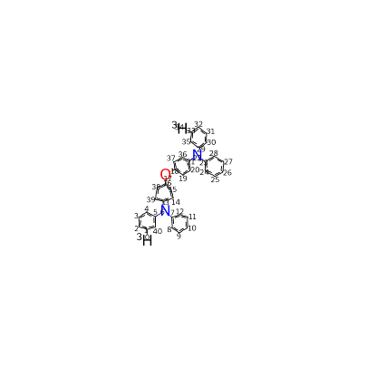 [3H]c1cccc(N(c2ccccc2)c2ccc(Oc3ccc(N(c4ccccc4)c4cccc([3H])c4)cc3)cc2)c1